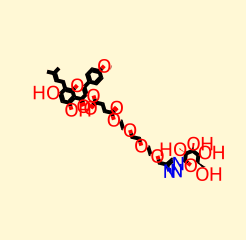 COc1ccc(-c2oc3c(CC=C(C)C)c(O)cc(O)c3c(=O)c2OC(=O)CCC(=O)OCCOCCOCCOCc2cn([C@@H]3O[C@H](CO)[C@@H](O)[C@H](O)[C@H]3O)nn2)cc1